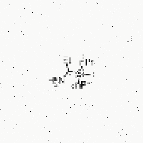 CCC[Si](C)(CCC)C(N)CC